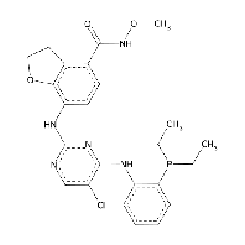 CCP(CC)c1ccccc1Nc1nc(Nc2ccc(C(=O)NOC)c3c2OCC3)ncc1Cl